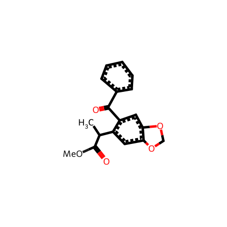 COC(=O)C(C)c1cc2c(cc1C(=O)c1ccccc1)OCO2